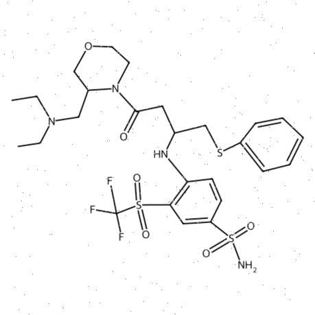 CCN(CC)CC1COCCN1C(=O)CC(CSc1ccccc1)Nc1ccc(S(N)(=O)=O)cc1S(=O)(=O)C(F)(F)F